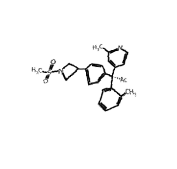 CC(=O)[C@](c1ccc(C2CN(S(C)(=O)=O)C2)cc1)(c1ccnc(C)c1)c1ccccc1C